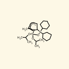 CC(C)[O][Ti]([O]C(C)C)([O]C(C)C)[O][Si](C1CCCCC1)(C1CCCCC1)C1CCCCC1